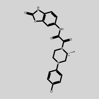 C[C@@H]1CN(c2ccc(Cl)cc2)CCN1C(=O)C(=O)Nc1ccc2[nH]c(=O)oc2c1